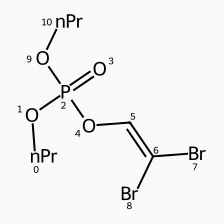 CCCOP(=O)(OC=C(Br)Br)OCCC